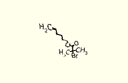 C=CCCCCOC(=O)C(C)(C)Br